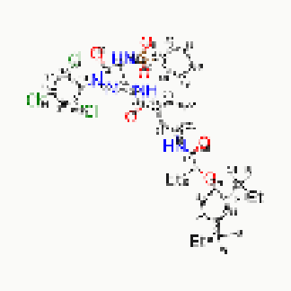 CCC(Oc1ccc(C(C)(C)CC)cc1C(C)(C)CC)C(=O)Nc1cccc(C(=O)NC2=NN(c3c(Cl)cc(Cl)cc3Cl)C(=O)C2NS(=O)(=O)c2ccccc2)c1